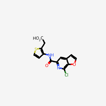 O=C(O)Cc1sccc1NC(=O)c1cc2ccoc2c(Cl)n1